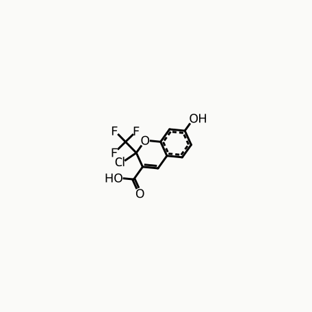 O=C(O)C1=Cc2ccc(O)cc2OC1(Cl)C(F)(F)F